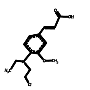 CCN(CCCl)c1ccc(C=CC(=O)O)cc1OC